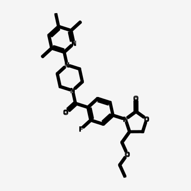 CCOCC1COC(=O)N1c1ccc(C(=O)N2CCN(c3nc(C)c(C)cc3C)CC2)c(F)c1